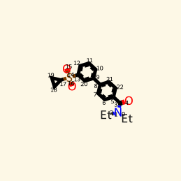 CCN(CC)C(=O)c1ccc(-c2cccc(S(=O)(=O)C3CC3)c2)cc1